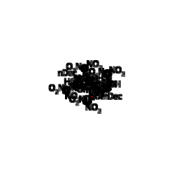 CCCCCCCCCCCC(C)c1cc(C(CCCCCCCCCCC)c2cc(C(CCCCCCCCCCC)c3cc(C(CCCCCCCCCCC)c4ccc(O)c(N=Nc5cc([N+](=O)[O-])cc([N+](=O)[O-])c5)c4O)c(O)c(N=Nc4cc([N+](=O)[O-])cc([N+](=O)[O-])c4)c3O)c(O)c(N=Nc3cc([N+](=O)[O-])cc([N+](=O)[O-])c3)c2O)c(O)c(N=Nc2cc([N+](=O)[O-])cc([N+](=O)[O-])c2)c1O